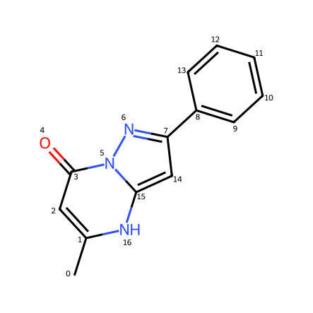 Cc1cc(=O)n2nc(-c3ccccc3)cc2[nH]1